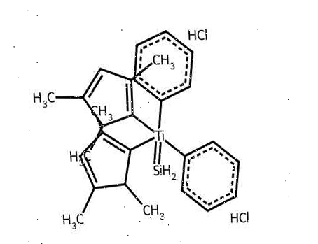 CC1=CC(C)=[C]([Ti](=[SiH2])([C]2=C(C)C=C(C)C2C)([c]2ccccc2)[c]2ccccc2)C1C.Cl.Cl